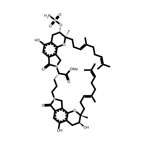 COC(=O)[C@H](CCCN1Cc2c(cc(O)c3c2O[C@](C)(CC/C=C(\C)CCC=C(C)C)[C@@H](O)C3)C1=O)N1Cc2c(cc(O)c3c2O[C@](C)(CC/C=C(\C)CCC=C(C)C)[C@@H](OS(N)(=O)=O)C3)C1=O